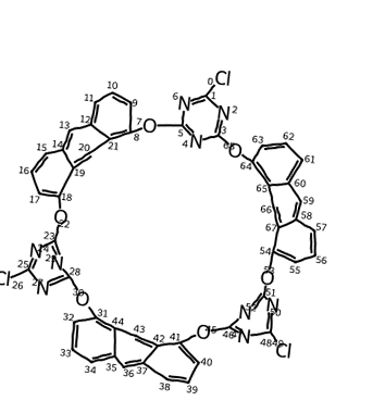 Clc1nc2nc(n1)Oc1cccc3cc4cccc(c4cc13)Oc1nc(Cl)nc(n1)Oc1cccc3cc4cccc(c4cc13)Oc1nc(Cl)nc(n1)Oc1cccc3cc4cccc(c4cc13)O2